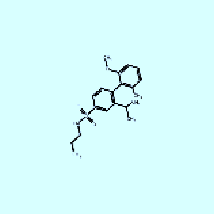 CCCNS(=O)(=O)c1ccc(-c2c(C)cccc2OC)c(C(C)C)c1